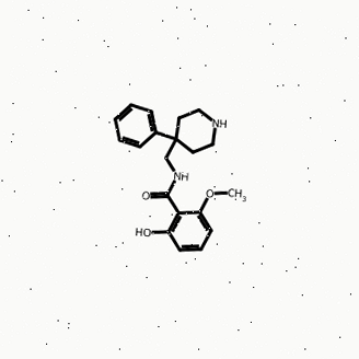 COc1cccc(O)c1C(=O)NCC1(c2ccccc2)CCNCC1